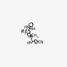 C=C(/C=C(C(\C)=C/CCC)/C(C)=C/CCC(CCC)c1ccc(C#N)cc1)C1NC2=C(CCC=CC2)N1